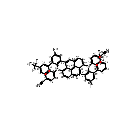 N#Cc1ccc(N(c2c(F)cc(F)cc2-c2cccc(C(F)(F)F)c2)c2ccc3ccc4c(N(c5ccc(C#N)cc5)c5c(F)cc(F)cc5-c5cccc(C(F)(F)F)c5)ccc5ccc2c3c54)cc1